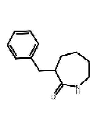 O=C1NCCCCC1Cc1ccccc1